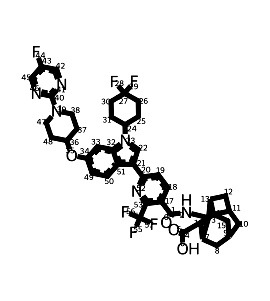 O=C(NC1(C(=O)O)C2CC3CC4CC1C4(C3)C2)c1ccc(-c2cn(C3CCC(F)(F)CC3)c3cc(OC4CCN(c5ncc(F)cn5)CC4)ccc23)nc1C(F)(F)F